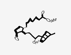 COC(=O)CCC/C=C\C[C@H]1C=CC(=O)/C1=C/C[C@@H](O)CC12C3C4C1C1C2C3C41C